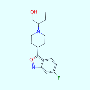 CCC(CO)N1CCC(c2onc3cc(F)ccc23)CC1